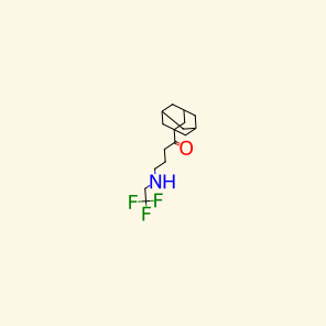 O=C(CCCNCC(F)(F)F)C12CC3CC(CC(C3)C1)C2